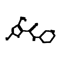 Nc1cc(Br)sc1C(=O)NC1CCCNC1